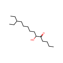 CCCCC(=O)C(O)CCCCCC(CC)CC